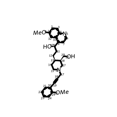 COc1ccc2nccc([C@H](O)CC[C@@H]3CCN(CC#Cc4ccccc4OC)C[C@@H]3CO)c2c1